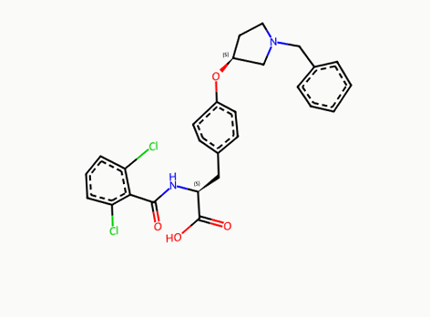 O=C(N[C@@H](Cc1ccc(O[C@H]2CCN(Cc3ccccc3)C2)cc1)C(=O)O)c1c(Cl)cccc1Cl